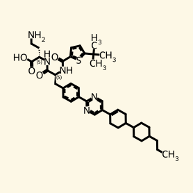 CCCC1CCC(C2CC=C(c3cnc(-c4ccc(C[C@H](NC(=O)c5ccc(C(C)(C)C)s5)C(=O)N[C@@H](CCN)C(=O)O)cc4)nc3)CC2)CC1